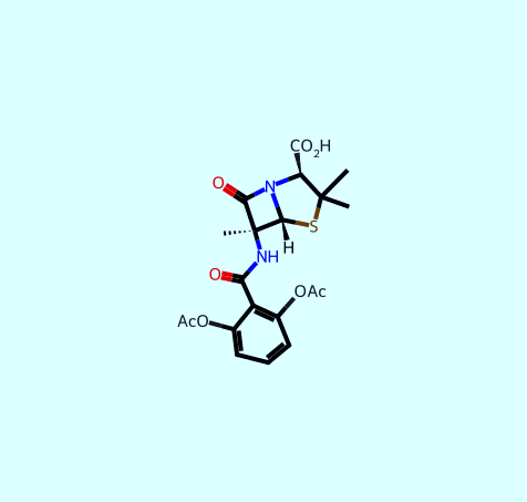 CC(=O)Oc1cccc(OC(C)=O)c1C(=O)N[C@@]1(C)C(=O)N2[C@@H](C(=O)O)C(C)(C)S[C@@H]21